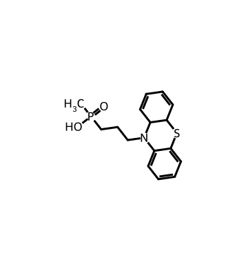 CP(=O)(O)CCCN1c2ccccc2SC2C=CC=CC21